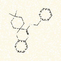 CC1(C)CCC2(CC1)Nc1ccccc1N=C2NCc1ccccc1